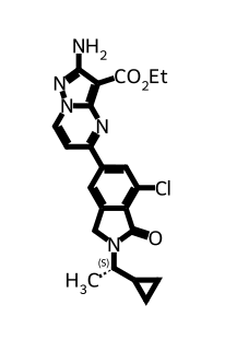 CCOC(=O)c1c(N)nn2ccc(-c3cc(Cl)c4c(c3)CN([C@@H](C)C3CC3)C4=O)nc12